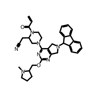 C=CC(=O)N1CCN(c2nc(OCC3CCCN3C)nc3c2CN(C2c4ccccc4-c4ccccc42)C3)CC1CC#N